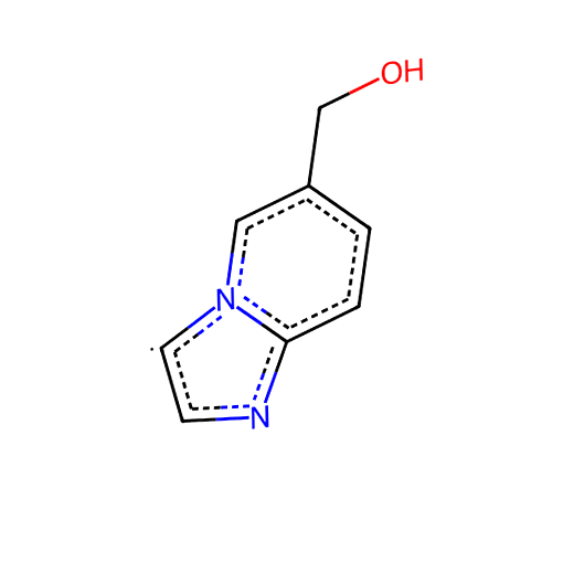 OCc1ccc2nc[c]n2c1